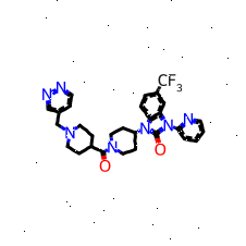 O=C(C1CCN(Cc2ccnnc2)CC1)N1CCC(n2c(=O)n(-c3ccccn3)c3cc(C(F)(F)F)ccc32)CC1